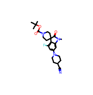 CN1C(=O)C2(CCN(C(=O)OC(C)(C)C)CC2)c2c(F)cc(N3CCC(C#N)CC3)cc21